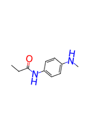 CCC(=O)Nc1ccc(NC)cc1